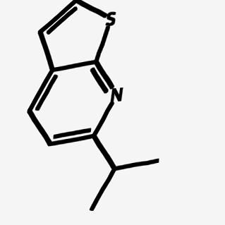 CC(C)c1ccc2ccsc2n1